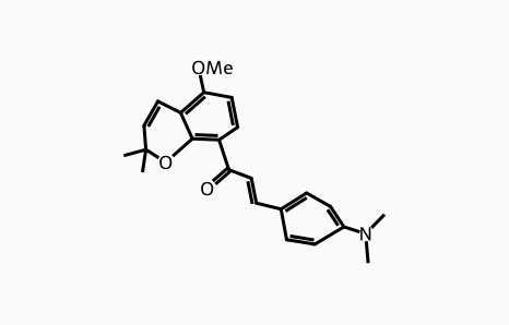 COc1ccc(C(=O)C=Cc2ccc(N(C)C)cc2)c2c1C=CC(C)(C)O2